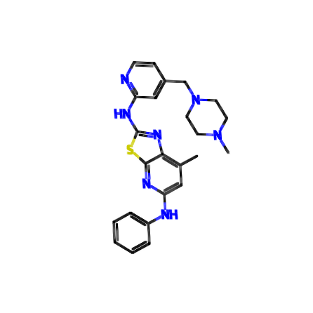 Cc1cc(Nc2ccccc2)nc2sc(Nc3cc(CN4CCN(C)CC4)ccn3)nc12